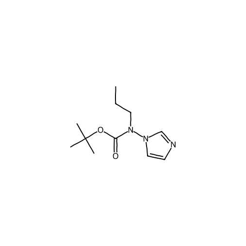 CCCN(C(=O)OC(C)(C)C)n1ccnc1